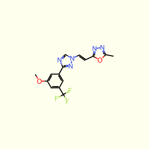 COc1cc(-c2ncn(C=Cc3nnc(C)o3)n2)cc(C(F)(F)F)c1